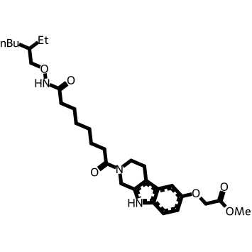 CCCCC(CC)CONC(=O)CCCCCCC(=O)N1CCc2c([nH]c3ccc(OCC(=O)OC)cc23)C1